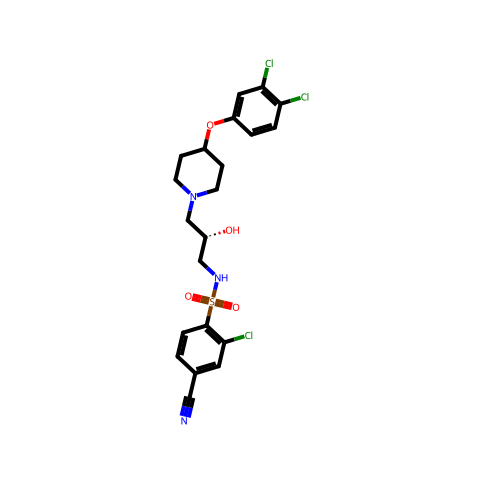 N#Cc1ccc(S(=O)(=O)NC[C@@H](O)CN2CCC(Oc3ccc(Cl)c(Cl)c3)CC2)c(Cl)c1